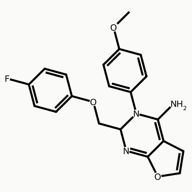 COc1ccc(N2C(N)=c3ccoc3=NC2COc2ccc(F)cc2)cc1